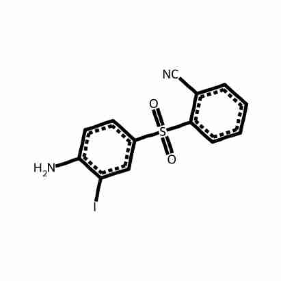 N#Cc1ccccc1S(=O)(=O)c1ccc(N)c(I)c1